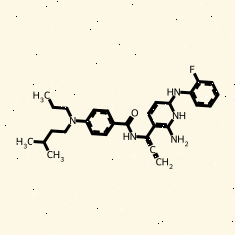 C=C=C(NC(=O)c1ccc(N(CCC)CCC(C)C)cc1)C1=C(N)NC(Nc2ccccc2F)C=C1